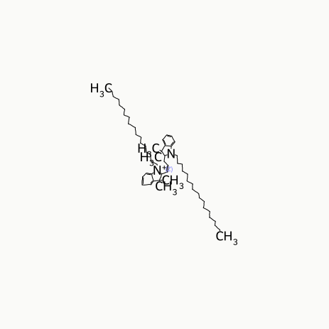 CCCCCCCCCCCCCCCCCCN1c2ccccc2C(C)(C)C1C/C=C\C1=[N+](CCCCCCCCCCCCCCCCCC)c2ccccc2C1(C)C